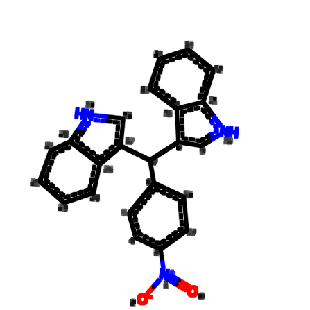 O=[N+]([O-])c1ccc(C(c2c[nH]c3ccccc23)c2c[nH]c3ccccc23)cc1